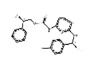 C[C@H](Nc1nccc(NC(=O)OC[C@H](C)c2ccccc2)n1)c1ccc(F)cc1